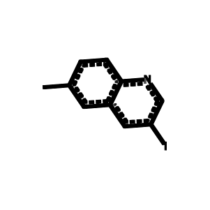 Cc1ccc2ncc(I)cc2c1